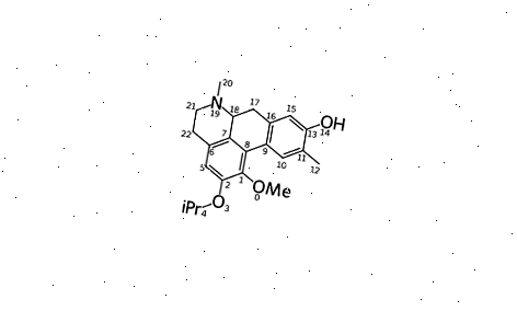 COc1c(OC(C)C)cc2c3c1-c1cc(C)c(O)cc1CC3N(C)CC2